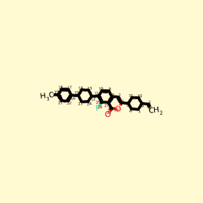 C=CC1CCC(c2cc3ccc(C4CCC(c5ccc(C)cc5)CC4)c(F)c3c(=O)o2)CC1